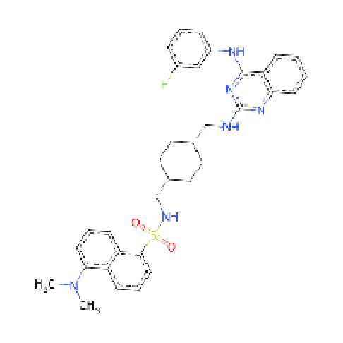 CN(C)c1cccc2c(S(=O)(=O)NC[C@H]3CC[C@@H](CNc4nc(Nc5cccc(F)c5)c5ccccc5n4)CC3)cccc12